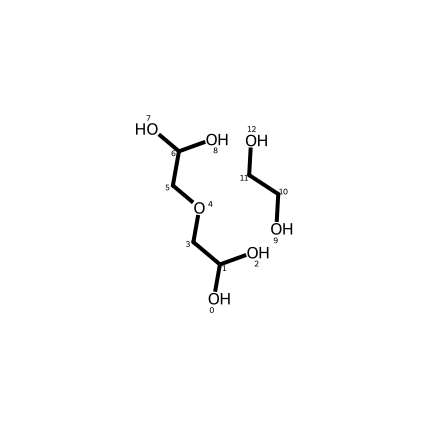 OC(O)COCC(O)O.OCCO